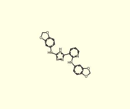 c1cnc(Nc2ccc3c(c2)OCO3)c(-c2nnc(Nc3ccc4c(c3)OCO4)[nH]2)c1